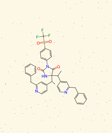 CC(c1ccnc(Cc2ccccc2)c1)C1(C(C)c2ccnc(Cc3ccccc3)c2)NC(=O)N(c2ccc(S(=O)(=O)C(F)(F)F)cc2)C1=O